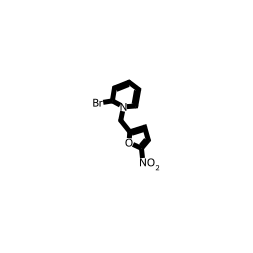 O=[N+]([O-])c1ccc(CN2C=CC=CC2Br)o1